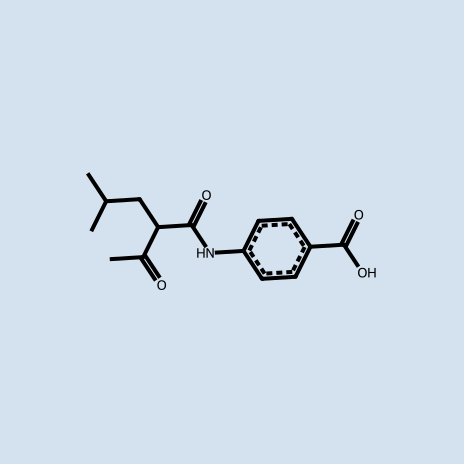 CC(=O)C(CC(C)C)C(=O)Nc1ccc(C(=O)O)cc1